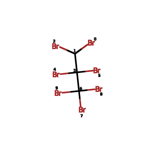 BrC(Br)C(Br)(Br)C(Br)(Br)Br